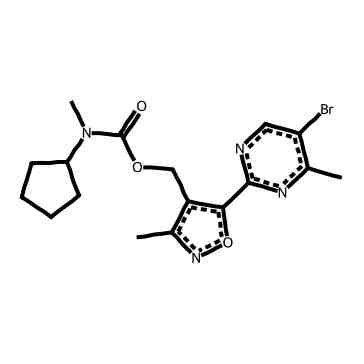 Cc1nc(-c2onc(C)c2COC(=O)N(C)C2CCCC2)ncc1Br